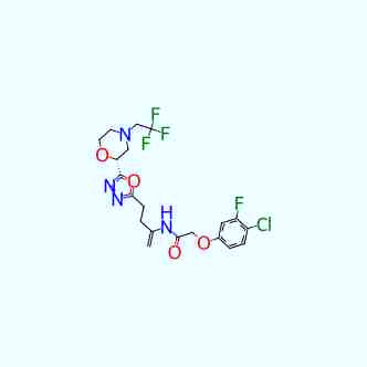 C=C(CCc1nnc([C@H]2CN(CC(F)(F)F)CCO2)o1)NC(=O)COc1ccc(Cl)c(F)c1